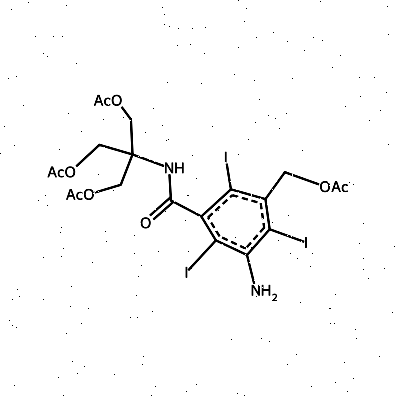 CC(=O)OCc1c(I)c(N)c(I)c(C(=O)NC(COC(C)=O)(COC(C)=O)COC(C)=O)c1I